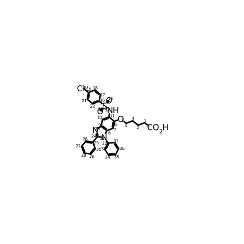 O=C(O)CCCCOc1cc2c(cc1NS(=O)(=O)c1ccc(Cl)cc1)nc(-c1ccccc1)n2-c1ccccc1